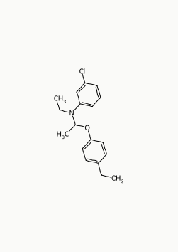 CCc1ccc(OC(C)N(CC)c2cccc(Cl)c2)cc1